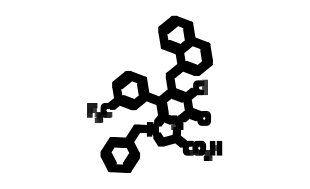 O=C(O)C1CN(Cc2ccccc2)c2c(-c3cccc(C(F)(F)F)c3)c(Cc3cccc4ccccc34)c(Cl)c(=O)n21